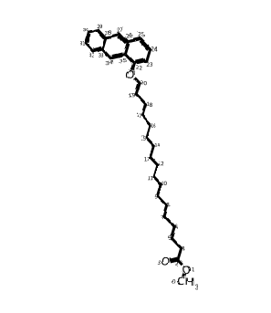 COC(=O)CCCCCCCCCCCCCCCCCOc1cccc2cc3ccccc3cc12